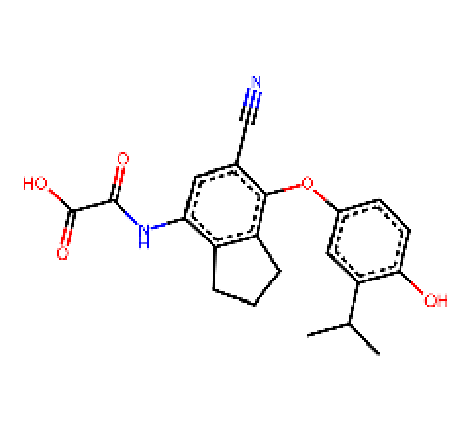 CC(C)c1cc(Oc2c(C#N)cc(NC(=O)C(=O)O)c3c2CCC3)ccc1O